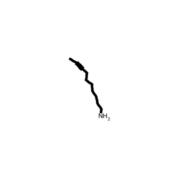 CC#CCCCCCCCN